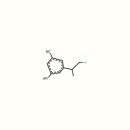 CCCc1cc(C#N)cc([C](C)CF)c1